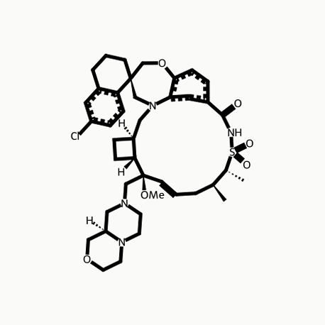 CO[C@]1(CN2CCN3CCOC[C@H]3C2)/C=C/C[C@H](C)[C@@H](C)S(=O)(=O)NC(=O)c2ccc3c(c2)N(C[C@@H]2CC[C@H]21)C[C@@]1(CCCc2cc(Cl)ccc21)CO3